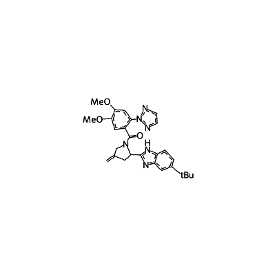 C=C1CC(c2nc3cc(C(C)(C)C)ccc3[nH]2)N(C(=O)c2cc(OC)c(OC)cc2-n2nccn2)C1